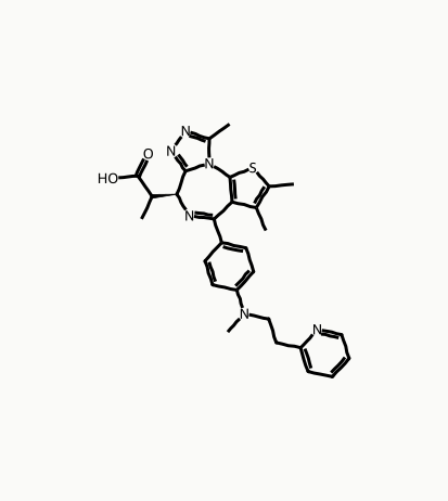 Cc1sc2c(c1C)C(c1ccc(N(C)CCc3ccccn3)cc1)=N[C@@H](C(C)C(=O)O)c1nnc(C)n1-2